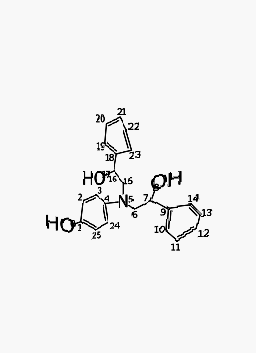 Oc1ccc(N(CC(O)c2ccccc2)CC(O)c2ccccc2)cc1